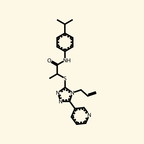 C=CCn1c(SC(C)C(=O)Nc2ccc(C(C)C)cc2)nnc1-c1cccnc1